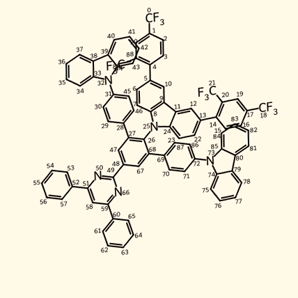 FC(F)(F)c1ccc(-c2ccc3c(c2)c2cc(-c4ccc(C(F)(F)F)cc4C(F)(F)F)ccc2n3-c2c(-c3ccc(-n4c5ccccc5c5ccccc54)cc3)cc(-c3nc(-c4ccccc4)cc(-c4ccccc4)n3)cc2-c2ccc(-n3c4ccccc4c4ccccc43)cc2)c(C(F)(F)F)c1